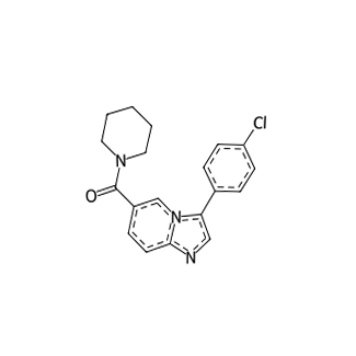 O=C(c1ccc2ncc(-c3ccc(Cl)cc3)n2c1)N1CCCCC1